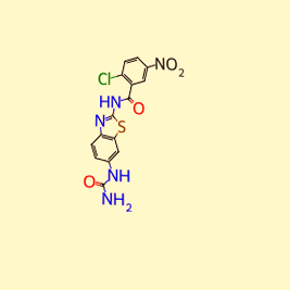 NC(=O)Nc1ccc2nc(NC(=O)c3cc([N+](=O)[O-])ccc3Cl)sc2c1